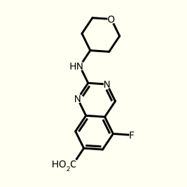 O=C(O)c1cc(F)c2cnc(NC3CCOCC3)nc2c1